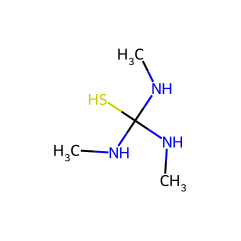 CNC(S)(NC)NC